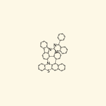 c1ccc(-c2nc(-n3c4ccccc4c4ccc5c(c43)-c3ccccc3-c3c4c(cc6ccccc36)Sc3ccccc3N54)nc3ccccc23)cc1